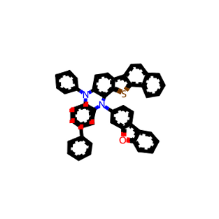 c1ccc(-c2cccc(N(c3ccc4c(c3)oc3ccccc34)c3c(N(c4ccccc4)c4ccccc4)ccc4c3sc3c5ccccc5ccc43)c2)cc1